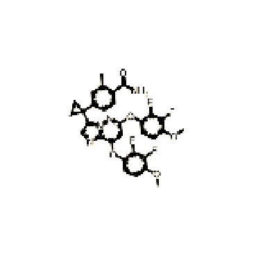 COc1ccc(Oc2cc(Oc3ccc(OC)c(F)c3F)c3ncc(C4(c5ccc(C(N)=O)c(C)c5)CC4)n3n2)c(F)c1F